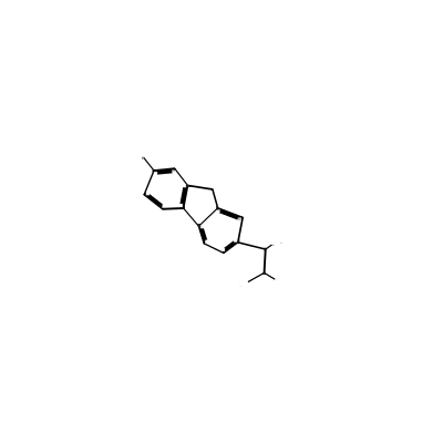 O=C(O)C(Br)C(Br)c1ccc2c(c1)Cc1cc(Cl)ccc1-2